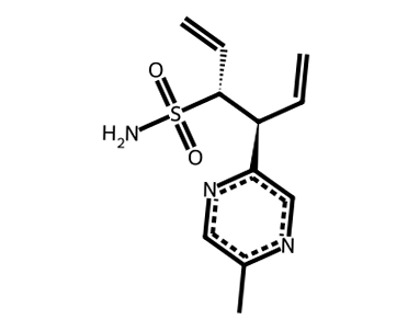 C=C[C@H]([C@@H](C=C)c1cnc(C)cn1)S(N)(=O)=O